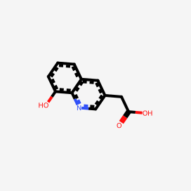 O=C(O)Cc1cnc2c(O)cccc2c1